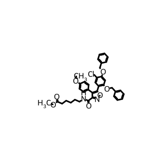 COC(=O)CCCCCNC(=O)c1noc(-c2cc(Cl)c(OCc3ccccc3)cc2OCc2ccccc2)c1-c1ccc(OC)cc1